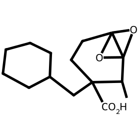 CC1C(CC2CCCCC2)(C(=O)O)CCC23OC12O3